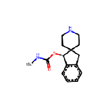 CC(C)(C)NC(=O)O[C@@H]1c2ccccc2CC12CCNCC2